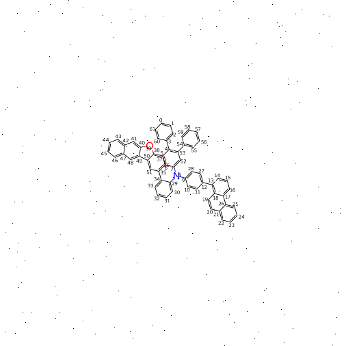 c1ccc(-c2ccc(N(c3ccc(-c4cccc5c4ccc4ccccc45)cc3)c3ccccc3-c3ccc4oc5cc6ccccc6cc5c4c3)cc2-c2ccccc2)cc1